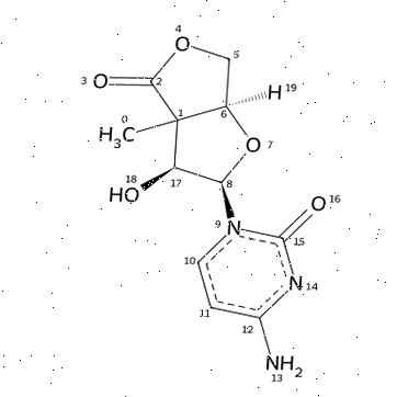 CC12C(=O)OC[C@H]1O[C@@H](n1ccc(N)nc1=O)[C@H]2O